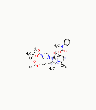 C=C(/C=C\C(=C)OC(=O)N(C)c1ccccc1)/N=C(CC)/C(=C/CCCOC(C)=O)N(COC)N1CCN(C(=O)OC(C)(C)C)CC1